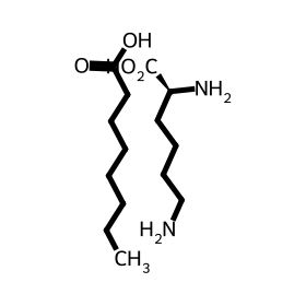 CCCCCCCC(=O)O.NCCCC[C@H](N)C(=O)O